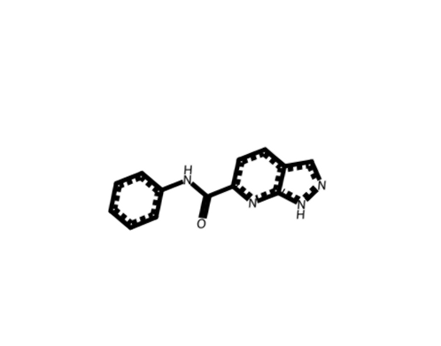 O=C(Nc1ccccc1)c1ccc2cn[nH]c2n1